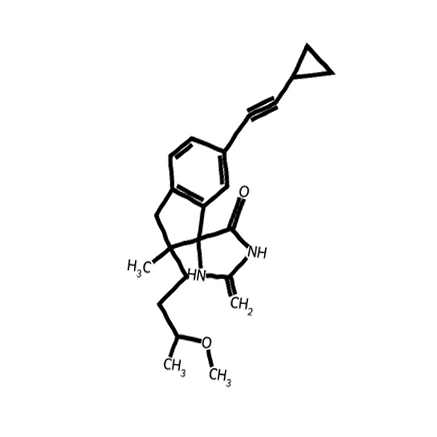 C=C1NC(=O)C2(N1)c1cc(C#CC3CC3)ccc1CC2(C)CCC(C)OC